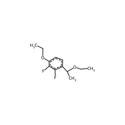 CCOc1ccc(C(C)OCC)c(F)c1F